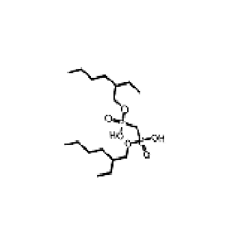 CCCCC(CC)COP(=O)(O)CP(=O)(O)OCC(CC)CCCC